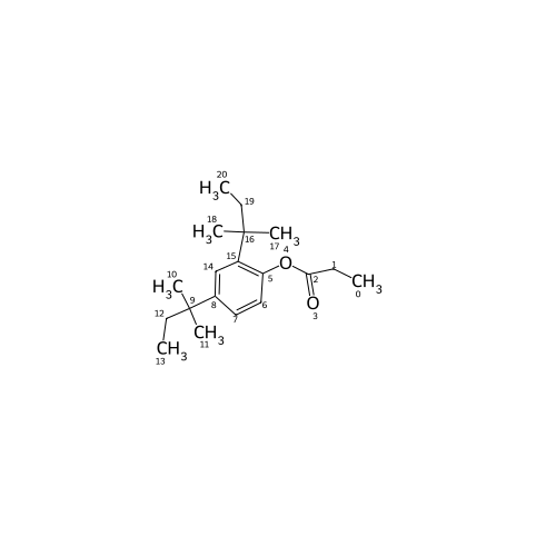 CCC(=O)Oc1ccc(C(C)(C)CC)cc1C(C)(C)CC